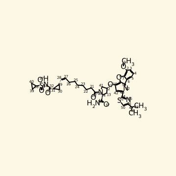 COc1cccc2c1oc1c(O[C@@H]3C[C@@H](C(N)=O)N(C(=O)CCCCCC/C=C\[C@@H]4C[C@@H]4C(=O)NS(=O)(=O)C4CC4)C3)cc(-c3nc(C(C)C)cs3)nc12